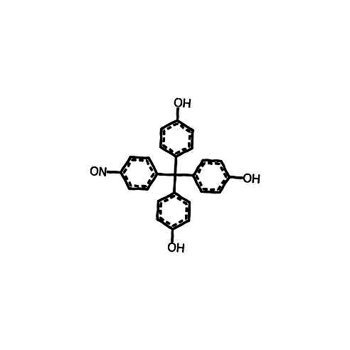 O=Nc1ccc(C(c2ccc(O)cc2)(c2ccc(O)cc2)c2ccc(O)cc2)cc1